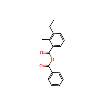 CCc1cccc(C(=O)OC(=O)c2ccccc2)c1C